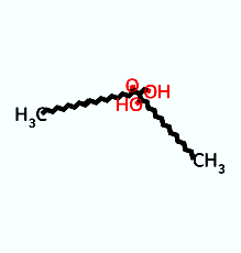 CCCCCCCCC=CCCCCCCCC(=O)C(CO)C(O)CCCCCCCCCCCCCCC